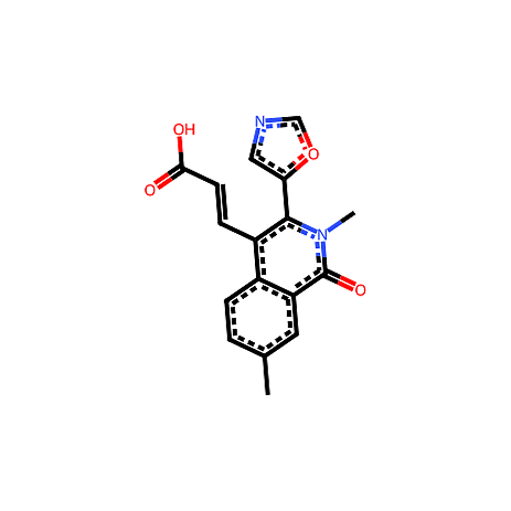 Cc1ccc2c(C=CC(=O)O)c(-c3cnco3)n(C)c(=O)c2c1